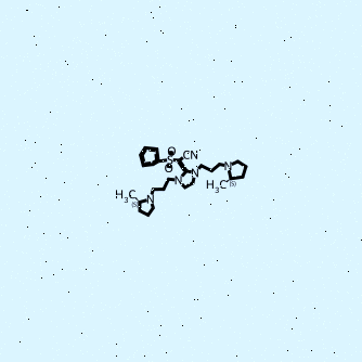 C[C@H]1CCCN1CCCN1CCN(CCCN2CCC[C@@H]2C)C1=C(C#N)S(=O)(=O)c1ccccc1